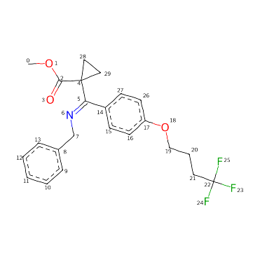 COC(=O)C1(C(=NCc2ccccc2)c2ccc(OCCCC(F)(F)F)cc2)CC1